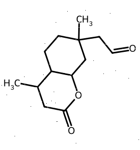 CC1CC(=O)OC2CC(C)(CC=O)CCC12